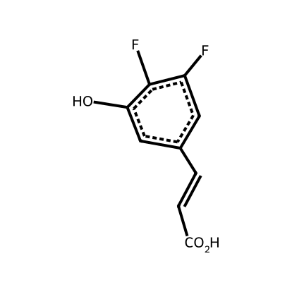 O=C(O)C=Cc1cc(O)c(F)c(F)c1